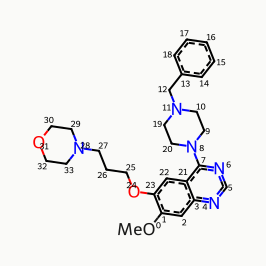 COc1cc2ncnc(N3CCN(Cc4ccccc4)CC3)c2cc1OCCCN1CCOCC1